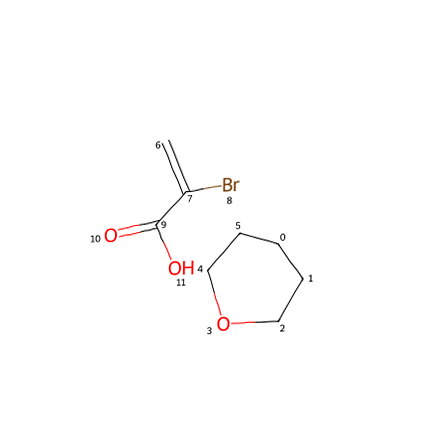 C1CCOCC1.C=C(Br)C(=O)O